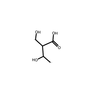 [CH2]C(O)C([CH]O)C(=O)O